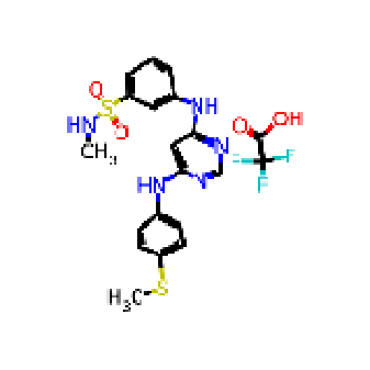 CNS(=O)(=O)c1cccc(Nc2cc(Nc3ccc(SC)cc3)ncn2)c1.O=C(O)C(F)(F)F